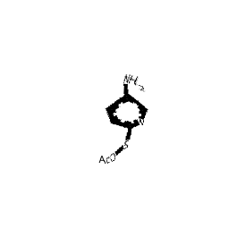 CC(=O)OSc1ccc(N)cn1